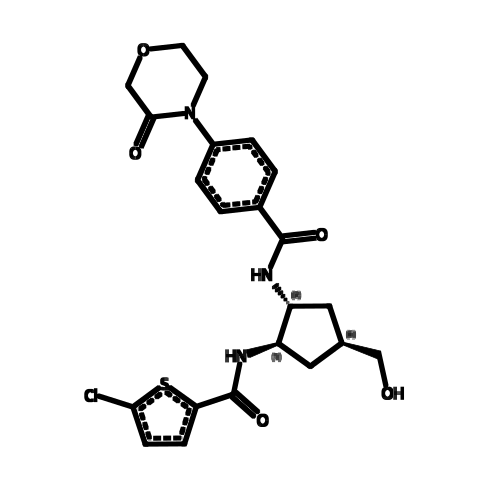 O=C(N[C@@H]1C[C@@H](CO)C[C@H]1NC(=O)c1ccc(Cl)s1)c1ccc(N2CCOCC2=O)cc1